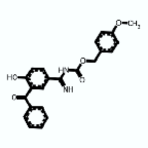 COc1ccc(COC(=O)NC(=N)c2ccc(O)c(C(=O)c3ccccc3)c2)cc1